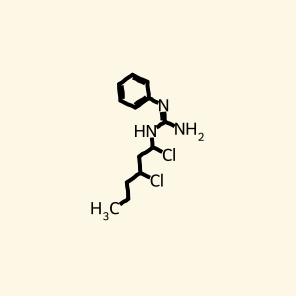 CCCC(Cl)CC(Cl)NC(N)=Nc1ccccc1